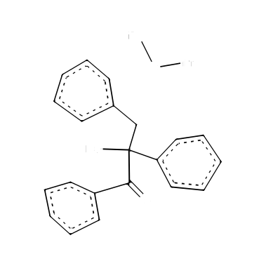 CC(C)OC(C)C.O=C(c1ccccc1)C(O)(Cc1ccccc1)c1ccccc1